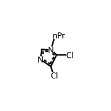 CCCn1cnc(Cl)c1Cl